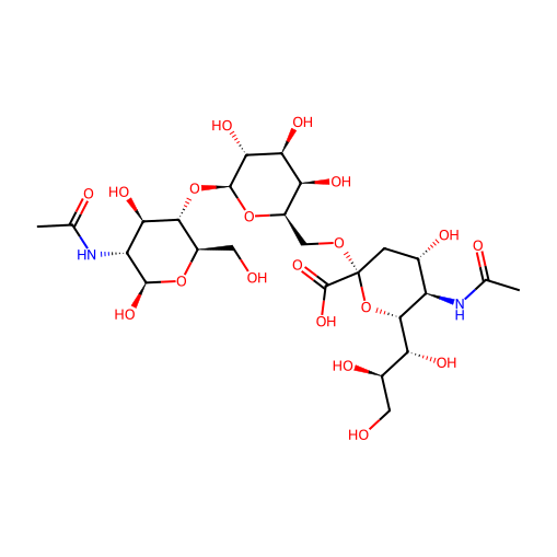 CC(=O)N[C@@H]1[C@@H](O)[C@H](O[C@@H]2O[C@H](CO[C@]3(C(=O)O)C[C@H](O)[C@@H](NC(C)=O)[C@H]([C@H](O)[C@H](O)CO)O3)[C@H](O)[C@H](O)[C@H]2O)[C@@H](CO)O[C@H]1O